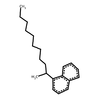 [CH2]C(CCCCCCCCC)c1cccc2ccccc12